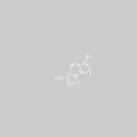 Cc1c[nH]c2c1ccc1c(C)c[nH]c12